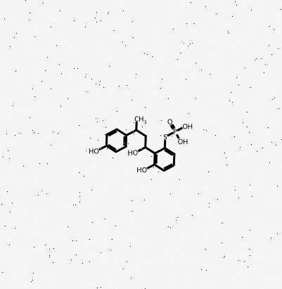 CC(CC(O)c1c(O)cccc1SP(=O)(O)O)c1ccc(O)cc1